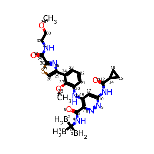 BC(B)(B)NC(=O)c1nnc(NC(=O)C2CC2)cc1Nc1cccc(-c2csc(C(=O)NCCOC)n2)c1OC